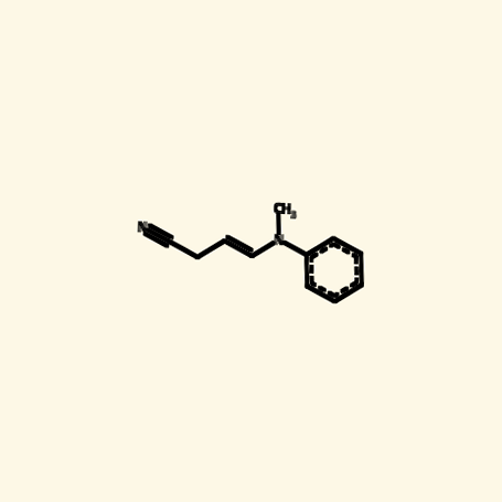 CN(C=CCC#N)c1ccccc1